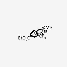 CCOC(=O)c1ccc(CP(=O)(OC)OC)c(C(F)(F)F)c1